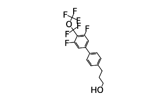 OCCCc1ccc(-c2cc(F)c(C(F)(F)OC(F)(F)F)c(F)c2)cc1